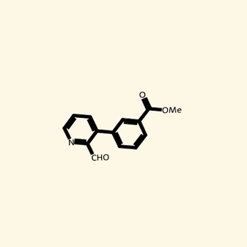 COC(=O)c1cccc(-c2cccnc2C=O)c1